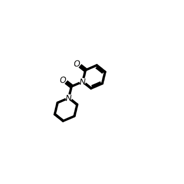 O=C(N1CCCCC1)n1ccccc1=O